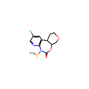 CPN1C(=O)OC2COCCC2c2cc(Cl)cnc21